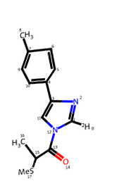 [2H]c1nc(-c2ccc(C)cc2)cn1C(=O)C(C)SC